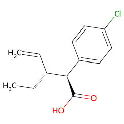 C=C[C@@H](CC)[C@H](C(=O)O)c1ccc(Cl)cc1